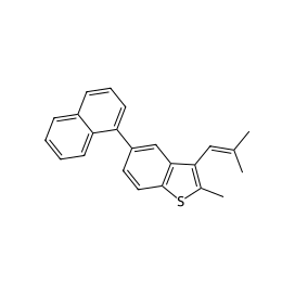 CC(C)=Cc1c(C)sc2ccc(-c3cccc4ccccc34)cc12